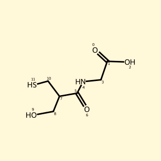 O=C(O)CNC(=O)C(CO)CS